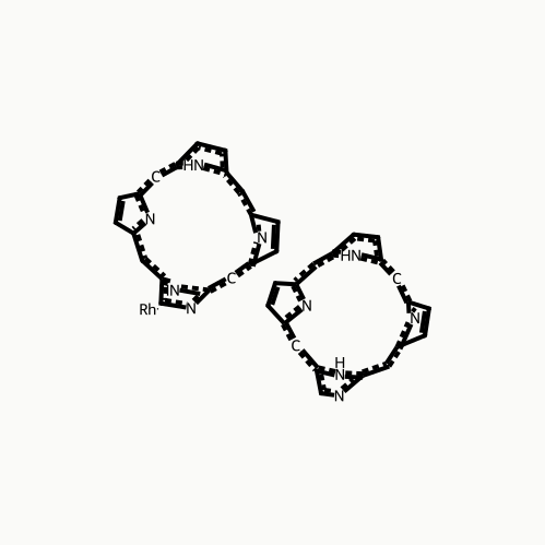 C1=Cc2cc3cnc(cc4nc(cc5ccc(cc1n2)[nH]5)C=C4)[nH]3.C1=Cc2cc3cnc(cc4nc(cc5ccc(cc1n2)[nH]5)C=C4)[nH]3.[Rh]